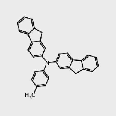 Cc1ccc(N(c2ccc3c(c2)Cc2ccccc2-3)c2ccc3c(c2)Cc2ccccc2-3)cc1